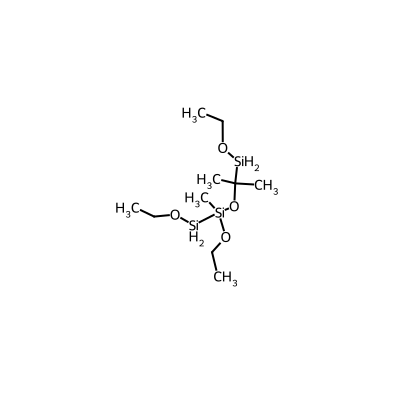 CCO[SiH2]C(C)(C)O[Si](C)(OCC)[SiH2]OCC